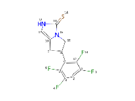 Fc1cc(F)c(F)c(C2Cc3c[nH]c(=S)n3C2)c1F